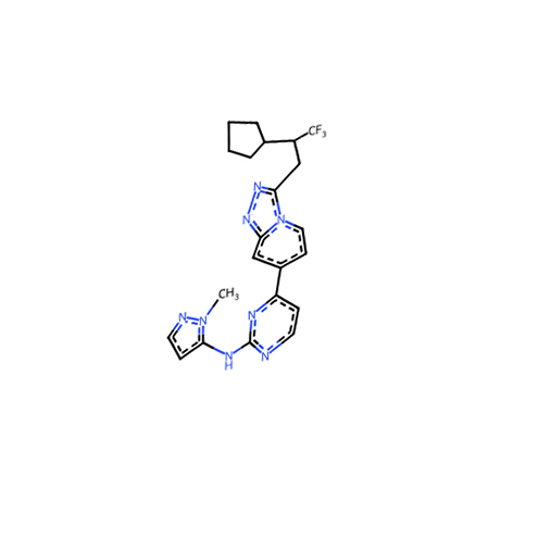 Cn1nccc1Nc1nccc(-c2ccn3c(CC(C4CCCC4)C(F)(F)F)nnc3c2)n1